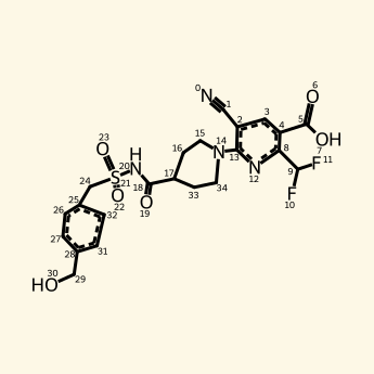 N#Cc1cc(C(=O)O)c(C(F)F)nc1N1CCC(C(=O)NS(=O)(=O)Cc2ccc(CO)cc2)CC1